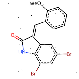 COc1ccccc1C=C1C(=O)Nc2c(Br)cc(Br)cc21